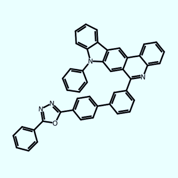 c1ccc(-c2nnc(-c3ccc(-c4cccc(-c5nc6ccccc6c6cc7c8ccccc8n(-c8ccccc8)c7cc56)c4)cc3)o2)cc1